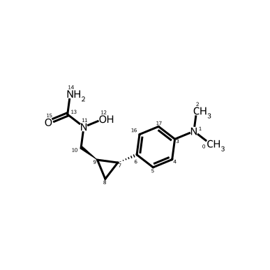 CN(C)c1ccc([C@@H]2C[C@H]2CN(O)C(N)=O)cc1